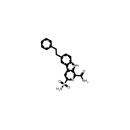 NC(=O)c1nc(S(N)(=O)=O)cc2c1[nH]c1ccc(CCc3ccccc3)cc12